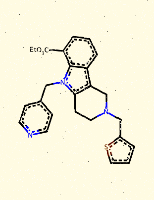 CCOC(=O)c1cccc2c3c(n(Cc4ccncc4)c12)CCN(Cc1cccs1)C3